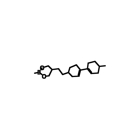 CB1OCC(CCC2CC=C(C3=CCC(C)CC3)CC2)CO1